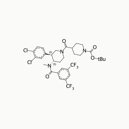 CN(C(=O)c1cc(C(F)(F)F)cc(C(F)(F)F)c1)[C@H]1CCN(C(=O)C2CCN(C(=O)OC(C)(C)C)CC2)C[C@@H]1c1ccc(Cl)c(Cl)c1